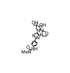 CNC(=O)Nc1ccc(-c2ncc3c(n2)N2CCOCC2(C)C(=O)N3CC(C)(CO)CO)cc1